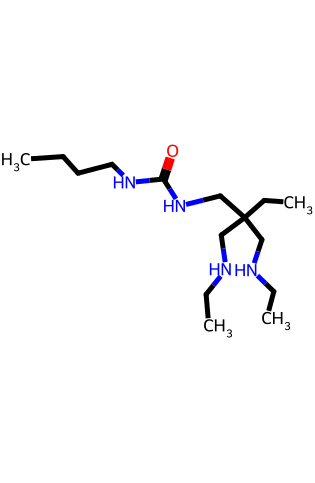 CCCCNC(=O)NCC(CC)(CNCC)CNCC